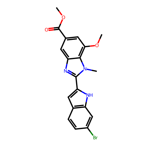 COC(=O)c1cc(OC)c2c(c1)nc(-c1cc3ccc(Br)cc3[nH]1)n2C